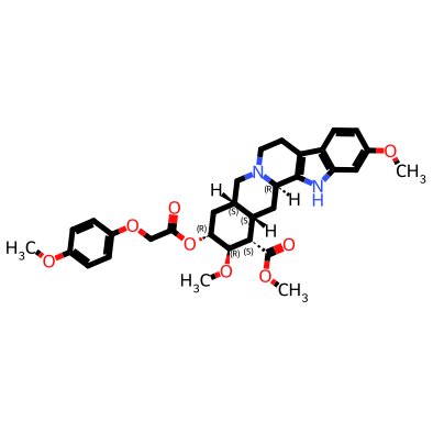 COC(=O)[C@H]1[C@H]2C[C@@H]3c4[nH]c5cc(OC)ccc5c4CCN3C[C@H]2C[C@@H](OC(=O)COc2ccc(OC)cc2)[C@@H]1OC